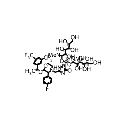 CNC(OP(=O)(OC(NC)[C@H](O)[C@@H](O)[C@H](O)[C@H](O)CO)n1[nH]c(CN2CCOC(O[C@H](C)c3cc(C(F)(F)F)cc(C(F)(F)F)c3)C2c2ccc(F)cc2)nc1=O)[C@H](O)[C@@H](O)[C@H](O)[C@H](O)CO